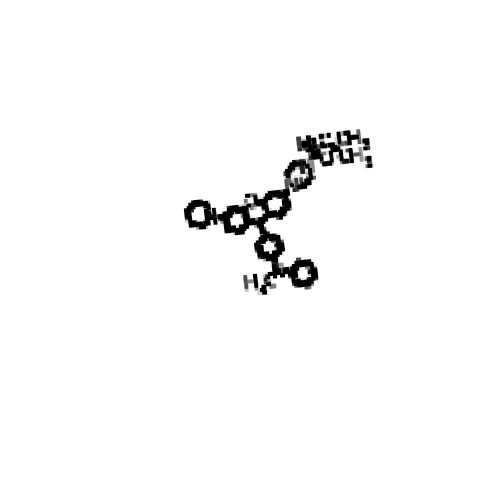 CN(c1ccccc1)c1ccc(-c2c3ccc(=[N+]4CCN(C(=O)OC(C)(C)C)CC4)cc-3oc3cc(N4CCCCC4)ccc23)cc1